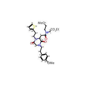 CCOC(=O)CN(CCOC)C(=O)CC1C(=O)N(CCc2ccc(OC)cc2)CC(=O)N1CCc1cccs1